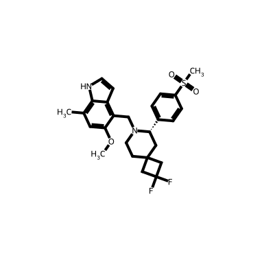 COc1cc(C)c2[nH]ccc2c1CN1CCC2(C[C@H]1c1ccc(S(C)(=O)=O)cc1)CC(F)(F)C2